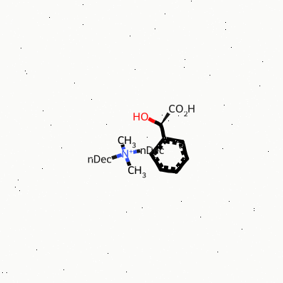 CCCCCCCCCC[N+](C)(C)CCCCCCCCCC.O=C(O)[C@H](O)c1ccccc1